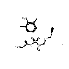 C#CCOCN(CCCC)S(=O)(=O)OC(=O)CO.Cc1cccc(C)c1N